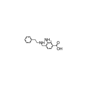 Nc1cc(C(=O)O)ccc1CNCCc1ccccc1